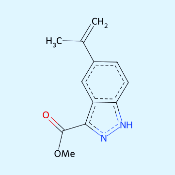 C=C(C)c1ccc2[nH]nc(C(=O)OC)c2c1